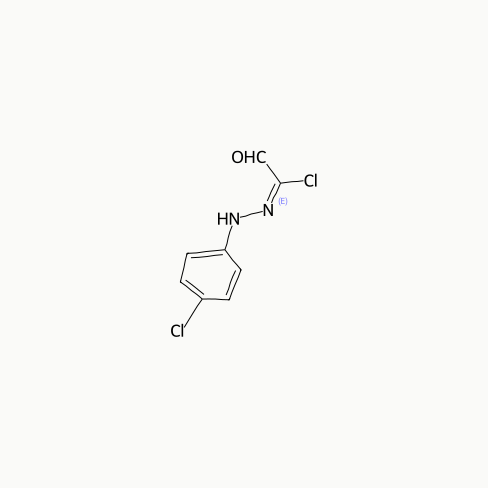 O=C/C(Cl)=N\Nc1ccc(Cl)cc1